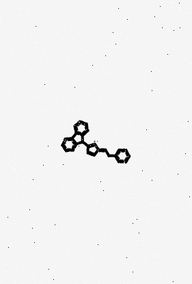 [C]1=C(C2c3ccccc3-c3ccccc32)C=CC1=CCc1ccccc1